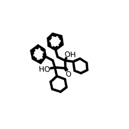 O=C(C(O)(Cc1ccccc1)C1CCCCC1)C(O)(Cc1ccccc1)C1CCCCC1